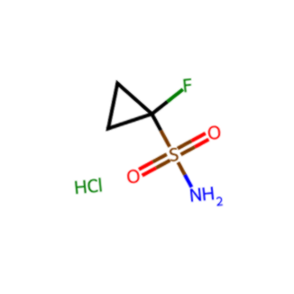 Cl.NS(=O)(=O)C1(F)CC1